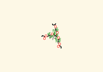 C=CC(=C)OCC(F)(F)C(F)(F)OC(F)(F)C(C(F)(F)F)(C(F)(F)OC(F)(F)C(F)(F)COC(=O)C=C)C(F)(F)OC(F)(F)C(F)(F)COC(=O)C=C